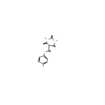 CN1C(=O)C(C(=O)Nc2ccc(I)cc2)C(=O)N(C)C1=O